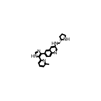 Cc1cccc(-c2[nH]cnc2-c2ccc3ncc(NC[C@@H]4CCCN4)cc3c2)n1